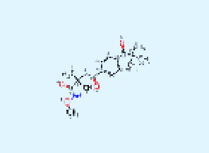 CONC(=O)C(C)(C)CC(=O)c1ccc(C(=O)C(C)(C)C)cc1